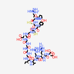 CC[C@H](C)[C@H](NC(=O)CNC(=O)CNC(=O)CNC(=O)CNC(=O)[C@H](CCC(=O)O)NC(=O)CNC(=O)[C@H](CS)NC(=O)[C@H](Cc1ccc(O)cc1)NC(=O)[C@H](CS)NC(=O)[C@H](CCCNC(=N)N)NC(=O)[C@@H]1CCCN1)C(=O)N[C@H](C(=O)N[C@@H](CCCNC(=N)N)C(=O)N[C@@H](CCCNC(=N)N)C(=O)N[C@@H](C)C(=O)N[C@@H](CC(=O)O)C(=O)O)C(C)C